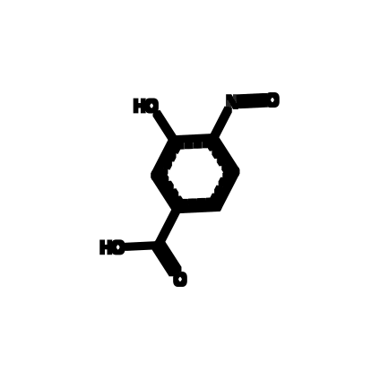 O=Nc1ccc(C(=O)O)cc1O